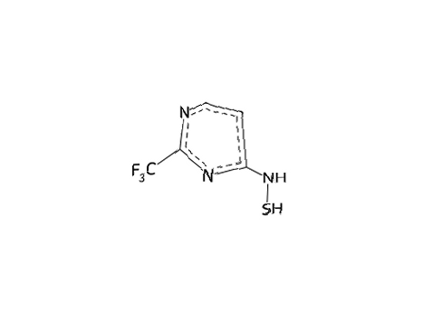 FC(F)(F)c1nccc(NS)n1